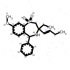 CC/C=C/C1(CC)CS(=O)(=O)c2cc(OC)ccc2C(c2ccccc2)N1